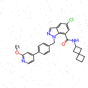 CCOc1cc(-c2ccc(Cn3ncc4cc(Cl)cc(C(=O)NC5CC6(CCC6)C5)c43)cc2)ccn1